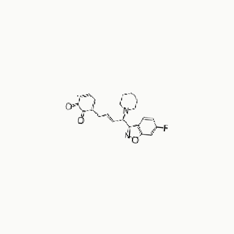 O=C1[C]=CC=C(CC=CC(c2noc3cc(F)ccc23)N2CCCCC2)C1=O